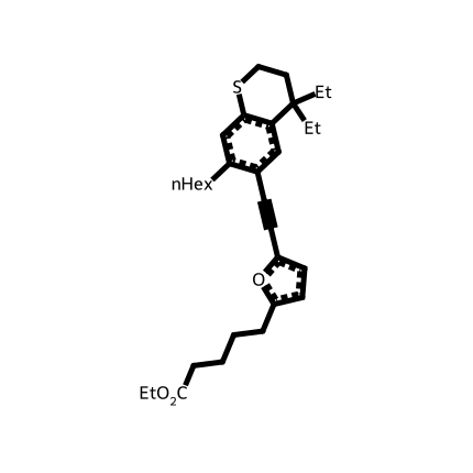 CCCCCCc1cc2c(cc1C#Cc1ccc(CCCCC(=O)OCC)o1)C(CC)(CC)CCS2